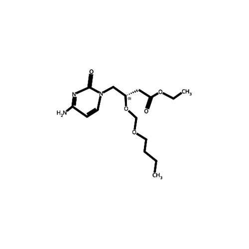 CCCCOCO[C@@H](CC(=O)OCC)Cn1ccc(N)nc1=O